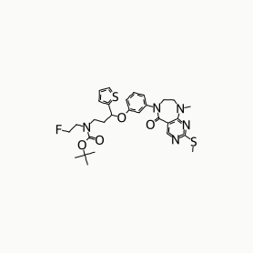 CSc1ncc2c(n1)N(C)CCN(c1cccc(OC(CCN(CCF)C(=O)OC(C)(C)C)c3cccs3)c1)C2=O